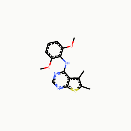 COc1cccc(OC)c1Nc1ncnc2sc(C)c(C)c12